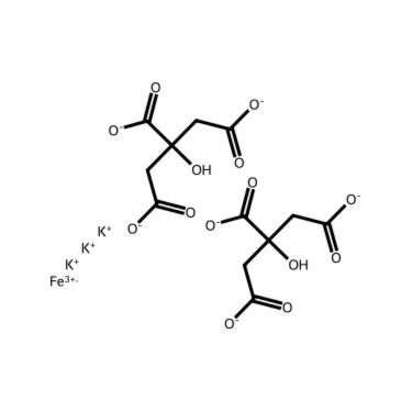 O=C([O-])CC(O)(CC(=O)[O-])C(=O)[O-].O=C([O-])CC(O)(CC(=O)[O-])C(=O)[O-].[Fe+3].[K+].[K+].[K+]